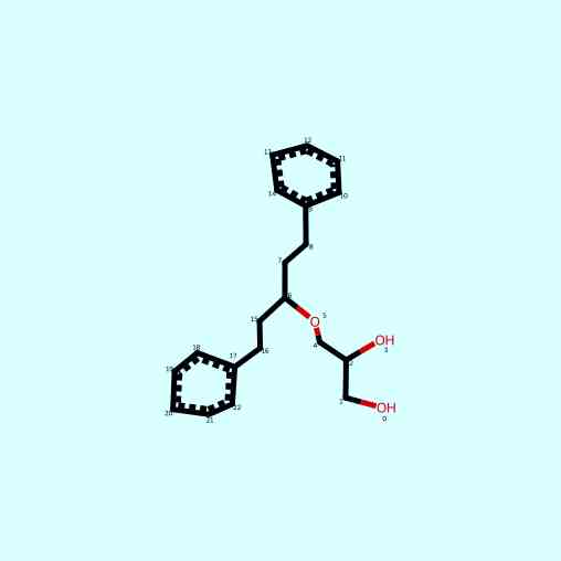 OCC(O)COC(CCc1ccccc1)CCc1ccccc1